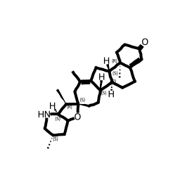 CC1=C2C[C@H]3[C@@H](CCC4=CC(=O)CC[C@@]43C)[C@@H]2CC[C@@]2(C1)OC1C[C@H](C)CN[C@H]1[C@H]2C